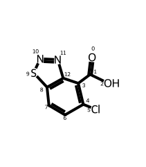 O=C(O)c1c(Cl)ccc2snnc12